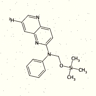 [2H]c1cnc2ccc(N(CO[Si](C)(C)C)c3ccccc3)nc2c1